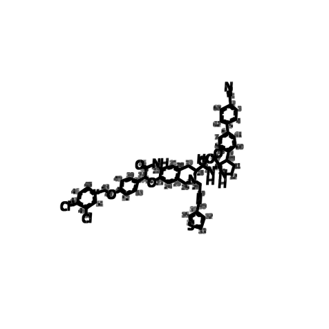 N#Cc1ccc(-c2ccc(C3CCN[C@@]3(NC(=O)C3Cc4cc5c(cc4CN3CC#Cc3ccsc3)O[C@@H](c3ccc(OCc4ccc(Cl)c(Cl)c4)cc3)C(=O)N5)C(=O)O)cc2)cc1